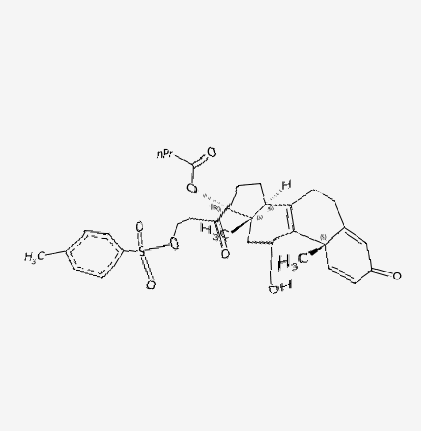 CCCC(=O)O[C@]1(C(=O)COS(=O)(=O)c2ccc(C)cc2)CC[C@H]2C3=C(C(O)C[C@@]21C)[C@@]1(C)C=CC(=O)C=C1CC3